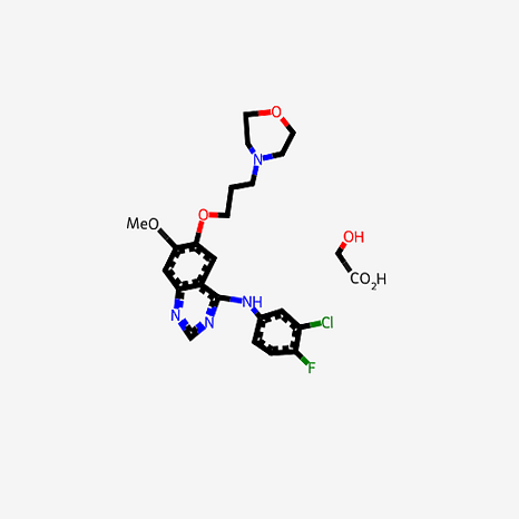 COc1cc2ncnc(Nc3ccc(F)c(Cl)c3)c2cc1OCCCN1CCOCC1.O=C(O)CO